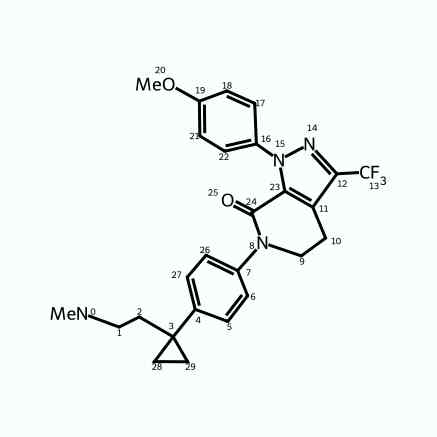 CNCCC1(c2ccc(N3CCc4c(C(F)(F)F)nn(-c5ccc(OC)cc5)c4C3=O)cc2)CC1